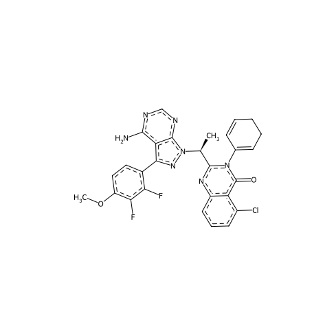 COc1ccc(-c2nn([C@@H](C)c3nc4cccc(Cl)c4c(=O)n3C3=CCCC=C3)c3ncnc(N)c23)c(F)c1F